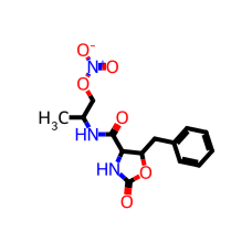 CC(CO[N+](=O)[O-])NC(=O)C1NC(=O)OC1Cc1ccccc1